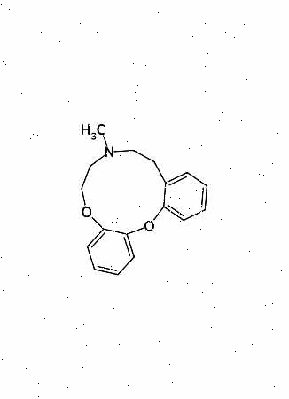 CN1CCOc2ccccc2Oc2ccccc2CC1